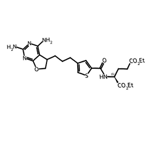 CCOC(=O)CC[C@H](NC(=O)c1cc(CCCC2COc3nc(N)nc(N)c32)cs1)C(=O)OCC